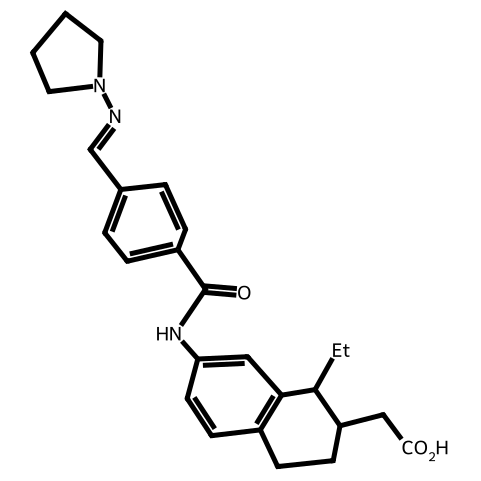 CCC1c2cc(NC(=O)c3ccc(C=NN4CCCC4)cc3)ccc2CCC1CC(=O)O